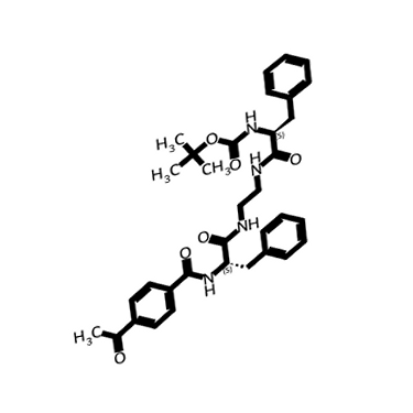 CC(=O)c1ccc(C(=O)N[C@@H](Cc2ccccc2)C(=O)NCCNC(=O)[C@H](Cc2ccccc2)NC(=O)OC(C)(C)C)cc1